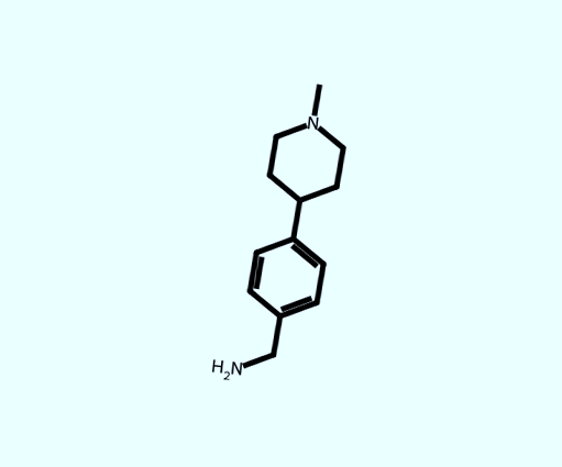 CN1CCC(c2ccc(CN)cc2)CC1